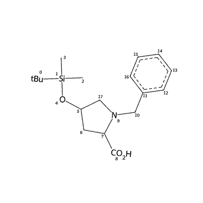 CC(C)(C)[Si](C)(C)OC1CC(C(=O)O)N(Cc2ccccc2)C1